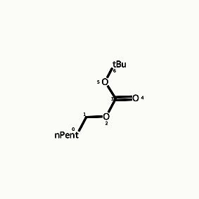 CCCCCCOC(=O)OC(C)(C)C